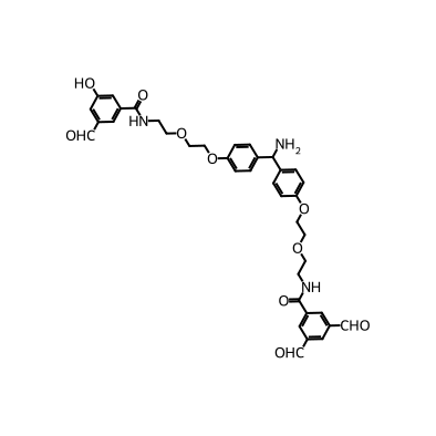 NC(c1ccc(OCCOCCNC(=O)c2cc(O)cc(C=O)c2)cc1)c1ccc(OCCOCCNC(=O)c2cc(C=O)cc(C=O)c2)cc1